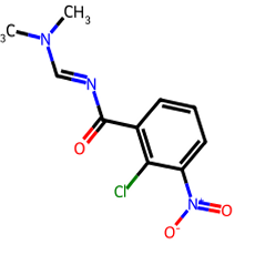 CN(C)C=NC(=O)c1cccc([N+](=O)[O-])c1Cl